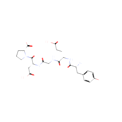 N[C@@H](Cc1ccc(O)cc1)C(=O)N[C@@H](CCC(=O)O)C(=O)NCC(=O)N[C@@H](CC(=O)O)C(=O)N1CCC[C@H]1C(=O)O